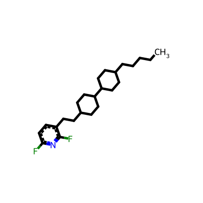 CCCCCC1CCC(C2CCC(CCc3ccc(F)nc3F)CC2)CC1